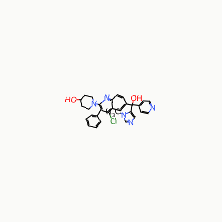 Cn1cncc1C(O)(c1ccncc1)c1ccc2nc(N3CCC(O)CC3)c(-c3ccccc3)c(Cl)c2c1